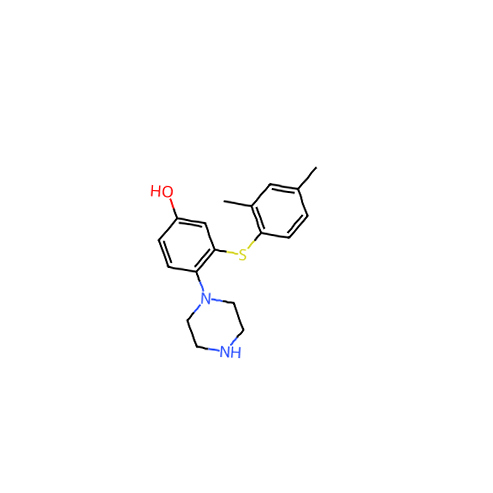 Cc1ccc(Sc2cc(O)ccc2N2CCNCC2)c(C)c1